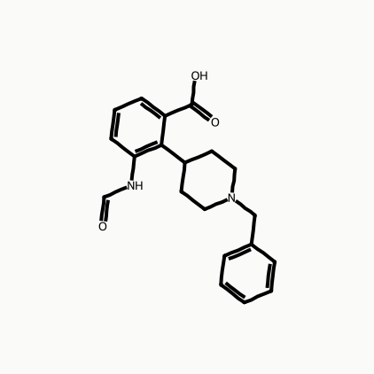 O=CNc1cccc(C(=O)O)c1C1CCN(Cc2ccccc2)CC1